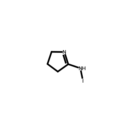 INC1=NCCC1